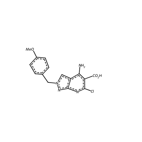 COc1ccc(Cn2cc3c(N)c(C(=O)O)c(Cl)nc3n2)cc1